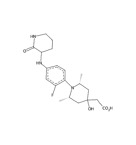 C[C@@H]1CC(O)(CC(=O)O)C[C@H](C)N1c1ccc(NC2CCCNC2=O)cc1F